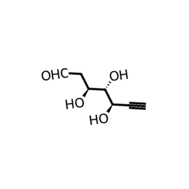 C#C[C@@H](O)[C@@H](O)[C@@H](O)CC=O